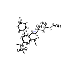 CC(C)c1nc(N(C)S(C)(=O)=O)nc(-c2ccc(F)cc2)c1/C=C/C(O)CC(O)CCO